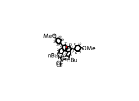 CCCCC1=Cc2c(-c3ccc(OC)cc3)cccc2[CH]1[Hf+2]1([CH]2C(CCCC)=Cc3c(-c4ccc(OC)cc4)cccc32)[CH2]C[CH2]1.[Cl-].[Cl-]